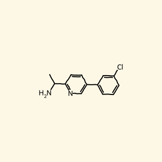 CC(N)c1ccc(-c2cccc(Cl)c2)cn1